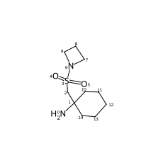 NC1(CS(=O)(=O)N2CCC2)CCCCC1